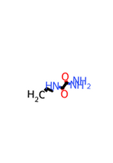 C=CCNC(=O)C(=O)NN